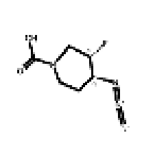 [N-]=[N+]=N[C@H]1CCN(C(=O)O)C[C@@H]1F